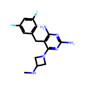 CNC1CN(c2nc(N)nc(N)c2Cc2cc(F)cc(F)c2)C1